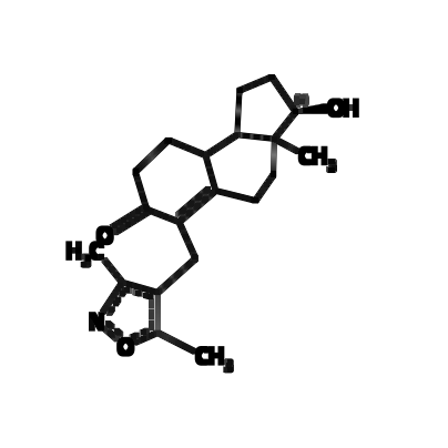 Cc1noc(C)c1CC1=C2CCC3(C)C(CC[C@H]3O)C2CCC1=O